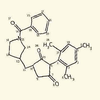 Cc1cc(C)c(C2C(=O)CC(CC3CCN(C(=O)c4ccccc4)C3)C2=O)c(C)c1